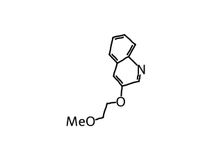 COCCOc1cnc2ccccc2c1